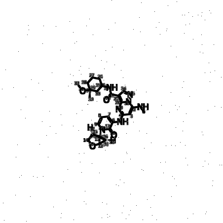 CNc1cc(Nc2cccn([C@]34C5OC[C@@H]3[C@H]54)c2=O)nc2c(C(=O)N[C@@H]3CCC[C@@](C)(OC)C3)cnn12